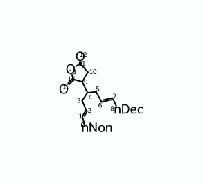 CCCCCCCCCC=CCC(CC=CCCCCCCCCCC)C1CC(=O)OC1=O